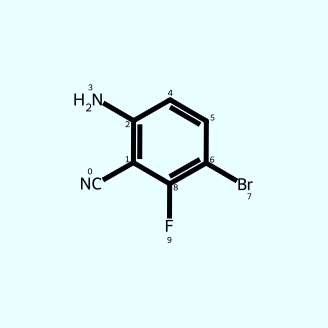 N#Cc1c(N)ccc(Br)c1F